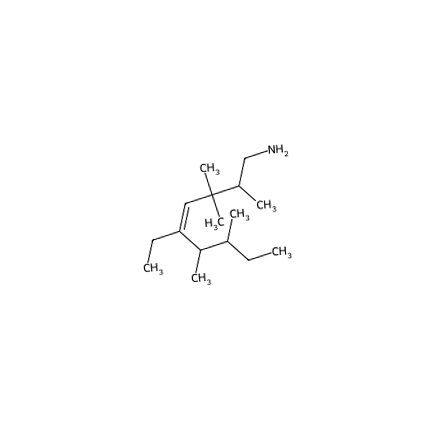 CC/C(=C/C(C)(C)C(C)CN)C(C)C(C)CC